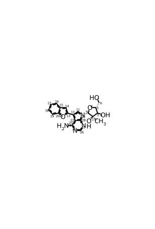 C[C@@]1(O)C(O)[C@@H](CO)O[C@H]1n1cc(-c2cc3ccccc3o2)c2c(N)ncnc21